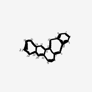 [c]1cc2cc3ccccc3cc2c2cc3ccccc3cc12